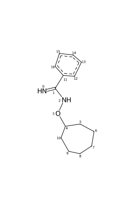 N=C(NOC1CCCCCC1)c1ccccc1